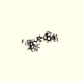 [C-]#[N+]C1=C(/C=C/c2ccc(/C=C/c3ccc(N(CC)CC)cc3OC(C)C)s2)C(C)(C(F)(F)F)O/C1=C(\C)C#N